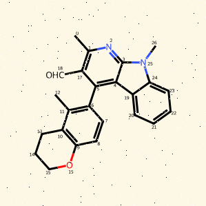 Cc1nc2c(c(-c3ccc4c(c3C)CCCO4)c1C=O)c1ccccc1n2C